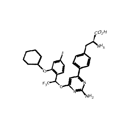 Nc1nc(OC(c2ccc(F)cc2OC2CCCCC2)C(F)(F)F)cc(-c2ccc(C[C@H](N)C(=O)O)cc2)n1